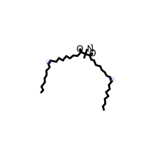 CCCCCCCC/C=C\CCCCCCCC(=O)C(C)(CN(C)C)C(=O)CCCCCCC/C=C\CCCCCCCC